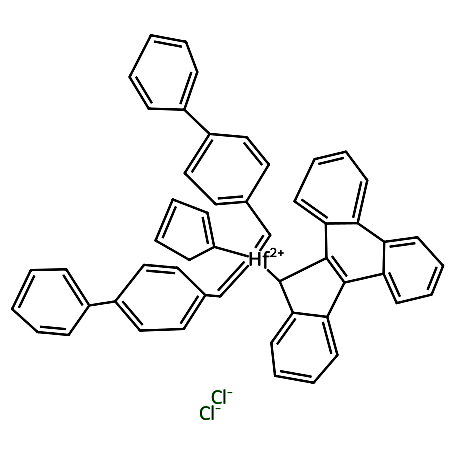 C1=CC[C]([Hf+2](=[CH]c2ccc(-c3ccccc3)cc2)(=[CH]c2ccc(-c3ccccc3)cc2)[CH]2c3ccccc3-c3c2c2ccccc2c2ccccc32)=C1.[Cl-].[Cl-]